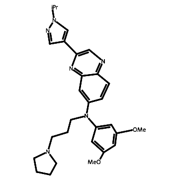 COc1cc(OC)cc(N(CCCN2CCCC2)c2ccc3ncc(-c4cnn(C(C)C)c4)nc3c2)c1